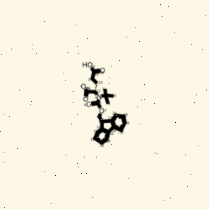 CC(C)(C)N(C(=O)OCC1c2ccccc2-c2ccccc21)[C@@H](CCC(=O)O)C([O])=O